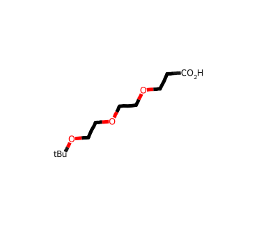 CC(C)(C)OCCOCCOCCC(=O)O